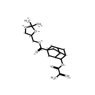 C=C(C)C(=O)OC1C2CC3CC1CC(C(=O)OCC1COC(C)(C)O1)(C3)C2